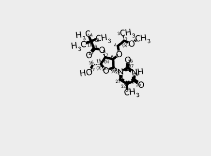 CO[C@@H](C)COC1[C@@H](OC(=O)C(C)(C)C)[C@@H](CO)O[C@H]1n1cc(C)c(=O)[nH]c1=O